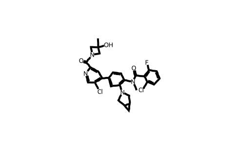 CN(C(=O)c1c(F)cccc1Cl)c1ccc(-c2cc(C(=O)N3CC(C)(O)C3)ncc2Cl)cc1N1CC2CC2C1